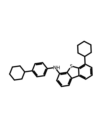 c1cc(Nc2ccc(C3CCCCC3)cc2)c2sc3c(C4CCCCC4)cccc3c2c1